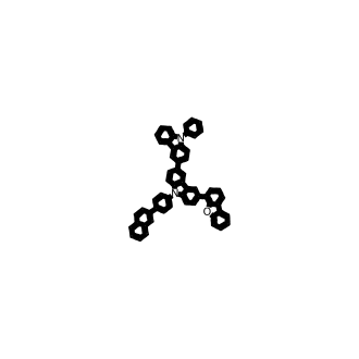 c1ccc(-n2c3ccccc3c3cc(-c4ccc5c(c4)c4cc(-c6cccc7c6oc6ccccc67)ccc4n5-c4ccc(-c5ccc6ccccc6c5)cc4)ccc32)cc1